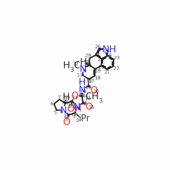 CC(C)[C@H]1C(=O)N2CCC[C@H]2[C@]2(O)O[C@@](C)(NC(=O)[C@@H]3C=C4c5cccc6[nH]cc(c56)C[C@H]4N(C)C3)C(=O)N12